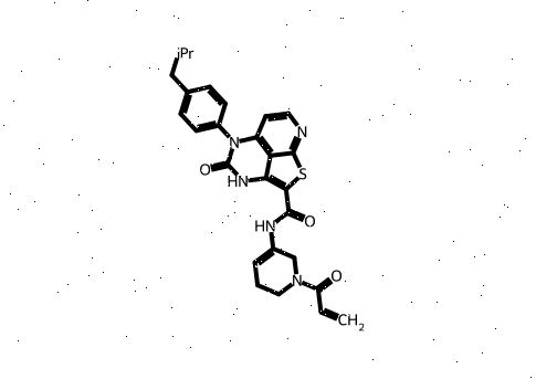 C=CC(=O)N1CCC=C(NC(=O)c2sc3nccc4c3c2NC(=O)N4c2ccc(CC(C)C)cc2)C1